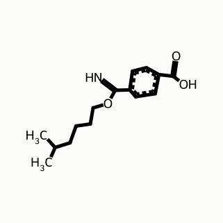 CC(C)CCCCOC(=N)c1ccc(C(=O)O)cc1